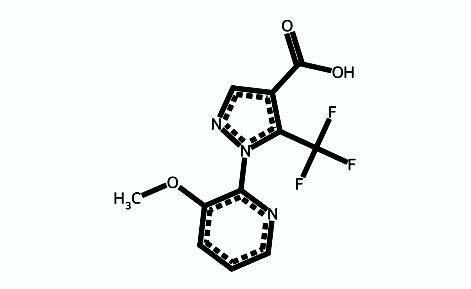 COc1cccnc1-n1ncc(C(=O)O)c1C(F)(F)F